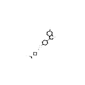 NC(=O)[C@H]1C[C@H](N=NS(=O)(=O)c2ccc(-c3c[nH]c4cc(F)ccc34)cc2)C1